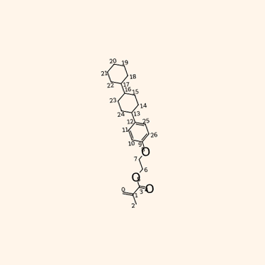 C=C(C)C(=O)OCCOc1ccc(C2CCC(C3CCCCC3)CC2)cc1